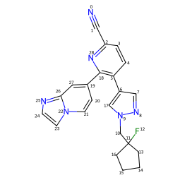 N#Cc1ccc(-c2cnn(CC3(F)CCCC3)c2)c(-c2ccn3ccnc3c2)n1